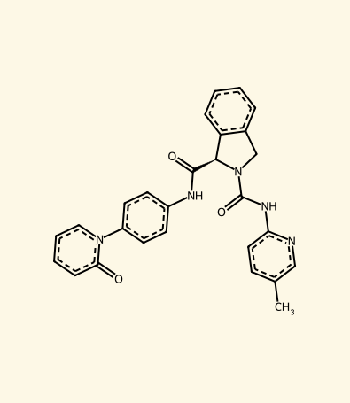 Cc1ccc(NC(=O)N2Cc3ccccc3[C@@H]2C(=O)Nc2ccc(-n3ccccc3=O)cc2)nc1